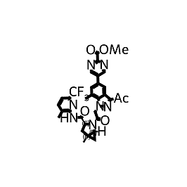 COC(=O)c1ncc(-c2cc(C)c3c(c2)c(C(C)=O)nn3CC(=O)N2[C@H](C(=O)Nc3nc(C(F)(F)F)ccc3C)C[C@@]3(C)C[C@@H]23)cn1